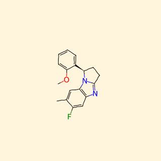 COc1ccccc1[C@H]1CCc2nc3cc(F)c(C)cc3n21